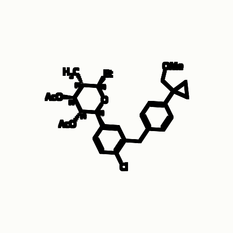 CC[C@H]1O[C@@H](c2ccc(Cl)c(Cc3ccc(C4(COC)CC4)cc3)c2)[C@H](OC(C)=O)[C@@H](OC(C)=O)[C@@H]1C